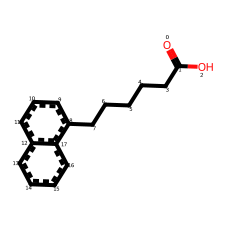 O=C(O)CCCCCc1cccc2ccccc12